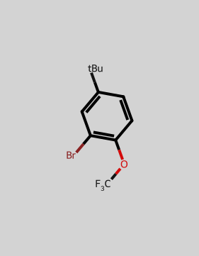 CC(C)(C)c1ccc(OC(F)(F)F)c(Br)c1